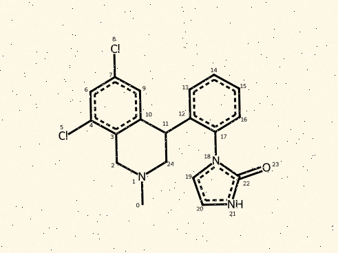 CN1Cc2c(Cl)cc(Cl)cc2C(c2ccccc2-n2cc[nH]c2=O)C1